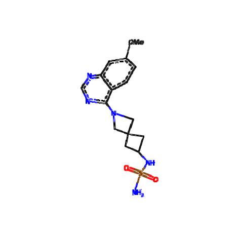 COc1ccc2c(N3CC4(CC(NS(N)(=O)=O)C4)C3)ncnc2c1